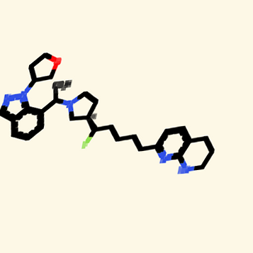 O=C(O)C(c1cccc2cnn(C3CCOC3)c12)N1CC[C@@H](C(F)CCCCc2ccc3c(n2)NCCC3)C1